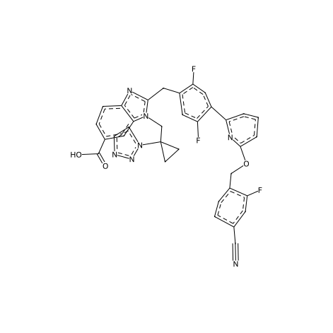 N#Cc1ccc(COc2cccc(-c3cc(F)c(Cc4nc5ccc(C(=O)O)cc5n4CC4(n5ccnn5)CC4)cc3F)n2)c(F)c1